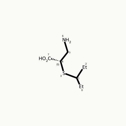 CCC(CC)S[C@@H](CN)C(=O)O